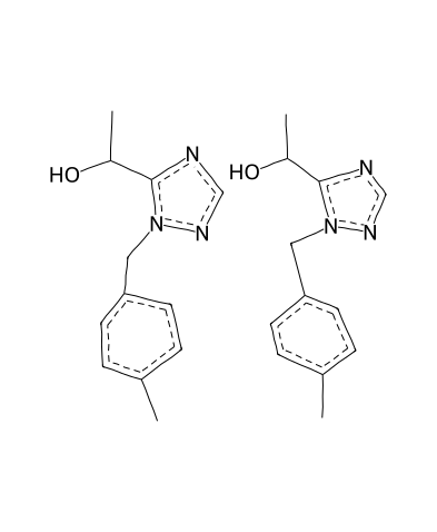 Cc1ccc(Cn2ncnc2C(C)O)cc1.Cc1ccc(Cn2ncnc2C(C)O)cc1